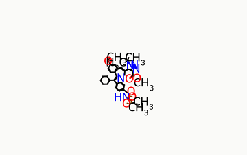 COC(=O)c1nnn(C(C)C)c1C1=Cc2cc(OC)ccc2-c2c(C3CCCCC3)c3ccc(C(=O)NS(=O)(=O)C(C)C)cc3n2C1